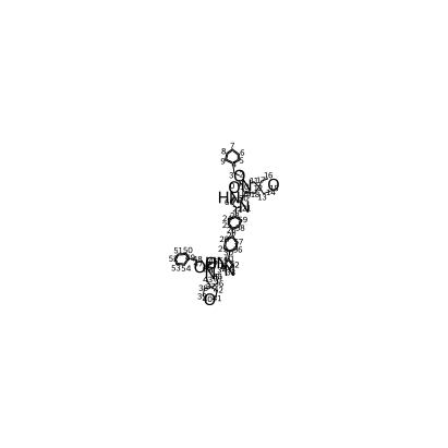 O=C(OCc1ccccc1)N1CC2(CCOCC2)C[C@H]1C1=NC(c2ccc(-c3ccc(-c4cnc([C@@H]5CC6(CCOCC6)CN5C(=O)OCc5ccccc5)[nH]4)cc3)cc2)CN1